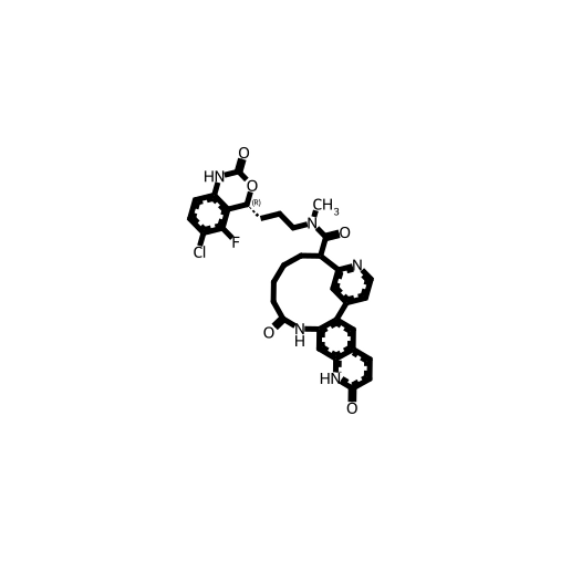 CN(CCC[C@H]1OC(=O)Nc2ccc(Cl)c(F)c21)C(=O)C1CCCCC(=O)Nc2cc3[nH]c(=O)ccc3cc2-c2ccnc1c2